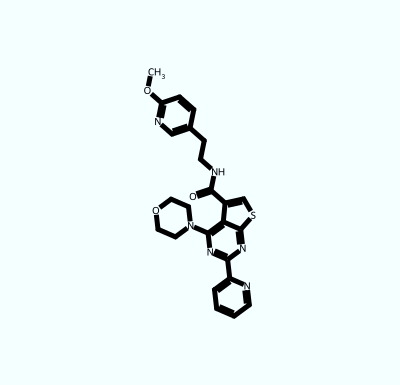 COc1ccc(CCNC(=O)c2csc3nc(-c4ccccn4)nc(N4CCOCC4)c23)cn1